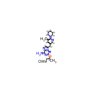 COCC(C)Oc1nc(N)c2ncc(Cc3cnc(N4CCCCC4)c(C)c3)n2n1